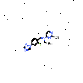 CC(C)(C)CN(Cc1ccc(-n2cncn2)cc1F)c1ccnc(C#N)n1